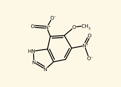 COc1c([N+](=O)[O-])cc2nn[nH]c2c1[N+](=O)[O-]